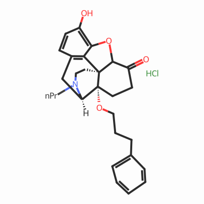 CCCN1CC[C@]23c4c5ccc(O)c4OC2C(=O)CC[C@@]3(OCCCc2ccccc2)[C@H]1C5.Cl